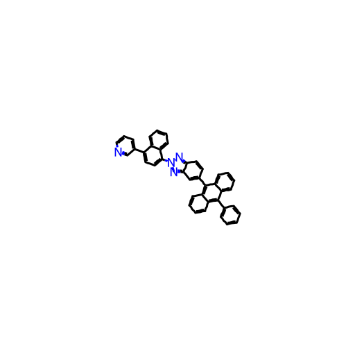 c1ccc(-c2c3ccccc3c(-c3ccc4nn(-c5ccc(-c6cccnc6)c6ccccc56)nc4c3)c3ccccc23)cc1